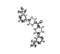 O=C(N1CCN(c2cc(C(F)(F)F)ncn2)CC1)N1CCN(c2cc(C(F)(F)F)ncn2)CC1